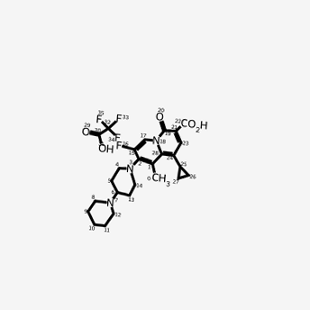 Cc1c(N2CCC(N3CCCCC3)CC2)c(F)cn2c(=O)c(C(=O)O)cc(C3CC3)c12.O=C(O)C(F)(F)F